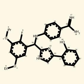 CCOc1cc(OC(C)C)c(F)c(C(Nc2ccc(C(=N)N)cc2)c2nc(-c3ccccc3O)c[nH]2)c1